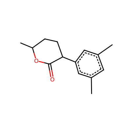 Cc1cc(C)cc(C2CCC(C)OC2=O)c1